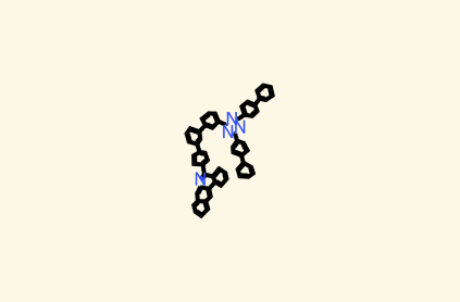 c1ccc(-c2ccc(-c3nc(-c4ccc(-c5ccccc5)cc4)nc(-c4cccc(-c5cccc(-c6ccc(-c7nc8cc9ccccc9cc8c8ccccc78)cc6)c5)c4)n3)cc2)cc1